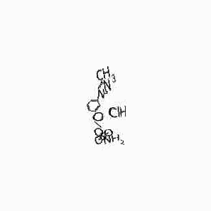 Cc1cn(-c2cccc(OCCOS(N)(=O)=O)c2)cn1.Cl